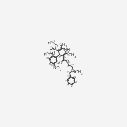 CCCOP(=O)(OCCC)C1=C(C)NC(C)=C(C(=O)OCCN(C)Cc2ccccc2)C1c1cccc([N+](=O)[O-])c1